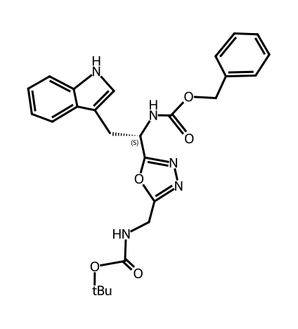 CC(C)(C)OC(=O)NCc1nnc([C@H](Cc2c[nH]c3ccccc23)NC(=O)OCc2ccccc2)o1